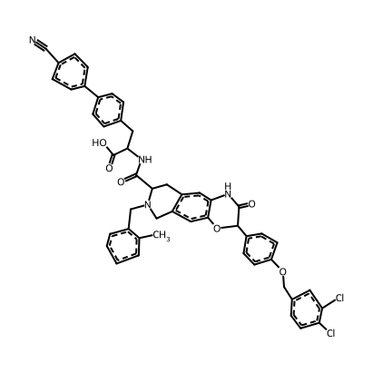 Cc1ccccc1CN1Cc2cc3c(cc2CC1C(=O)NC(Cc1ccc(-c2ccc(C#N)cc2)cc1)C(=O)O)NC(=O)C(c1ccc(OCc2ccc(Cl)c(Cl)c2)cc1)O3